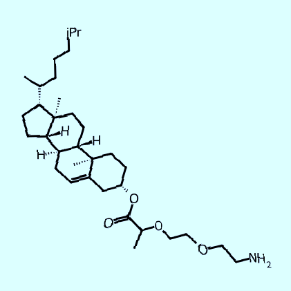 CC(C)CCCC(C)[C@H]1CC[C@H]2[C@@H]3CC=C4C[C@@H](OC(=O)C(C)OCCOCCN)CC[C@]4(C)[C@H]3CC[C@]12C